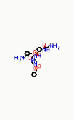 NCCC(=O)Nc1cccc(S(=O)(=O)N[C@@H](Cc2cccc(CN)c2)C(=O)N2CCN(C(=O)OCc3ccccc3)CC2)c1